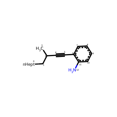 CCCCCCCCC(C)C#Cc1ccccc1N